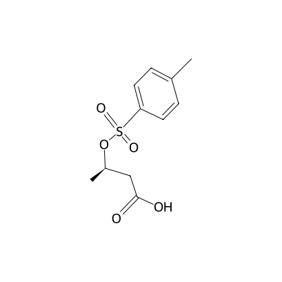 Cc1ccc(S(=O)(=O)O[C@H](C)CC(=O)O)cc1